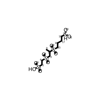 CC(CS(=O)(=O)CCS(=O)(=O)O)S(=O)(=O)CCCC[SH](=O)=O